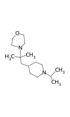 CC(C)N1CCC(CC(C)(C)N2CCOCC2)CC1